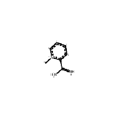 C[n+]1ccccc1C(=N)N